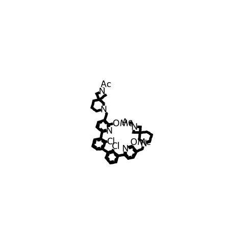 COc1nc(-c2cccc(-c3cccc(-c4ccc(CN5CCCC6(C5)CN(C(C)=O)C6)c(OC)n4)c3Cl)c2Cl)ccc1CN1CCCC2(C1)CN(C(C)=O)C2